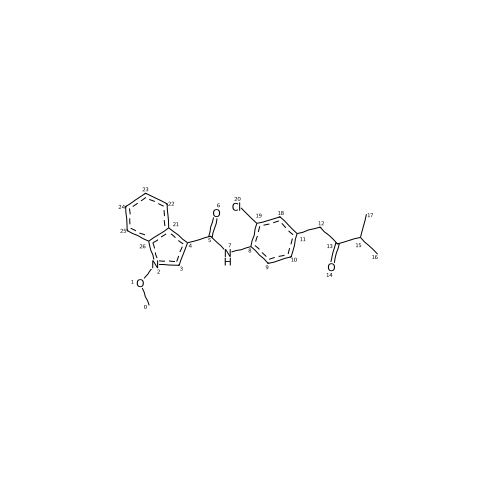 COn1cc(C(=O)Nc2ccc(CC(=O)C(C)C)cc2Cl)c2ccccc21